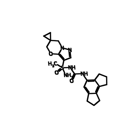 CS(N)(=O)(NC(=O)Nc1cc2c(c3c1CCC3)CCC2)c1cnn2c1OCC1(CC1)C2